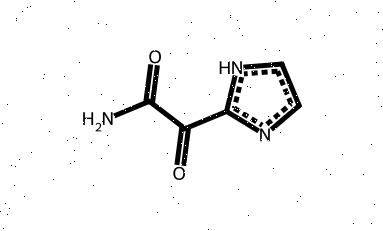 NC(=O)C(=O)c1ncc[nH]1